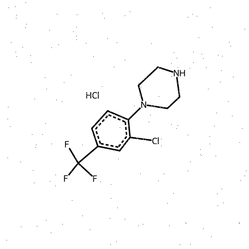 Cl.FC(F)(F)c1ccc(N2CCNCC2)c(Cl)c1